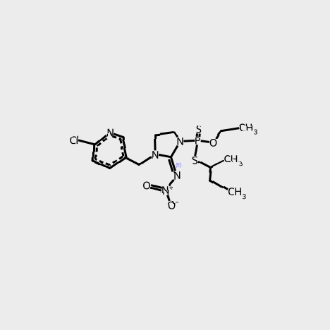 CCOP(=S)(SC(C)CC)N1CCN(Cc2ccc(Cl)nc2)/C1=N\[N+](=O)[O-]